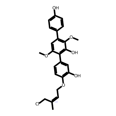 COc1cc(-c2ccc(O)cc2)c(OC)c(O)c1-c1ccc(OC/C=C(/C)CCl)c(O)c1